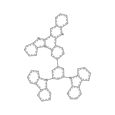 c1ccc2nc3c4ccc(-c5cc(-n6c7ccccc7c7ccccc76)cc(-n6c7ccccc7c7ccccc76)c5)cc4n4c5ccccc5nc4c3cc2c1